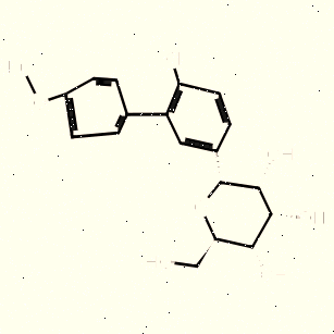 CCOc1ccc(-c2cc([C@H]3O[C@H](CO)[C@@H](O)[C@@H](O)[C@H]3O)ccc2Cl)cc1